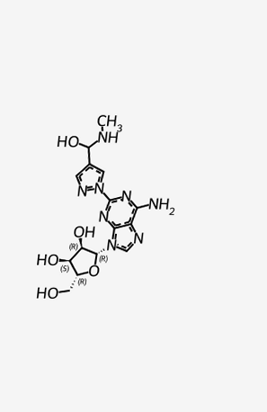 CNC(O)c1cnn(-c2nc(N)c3ncn([C@@H]4O[C@H](CO)[C@@H](O)[C@H]4O)c3n2)c1